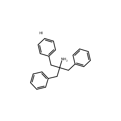 I.NC(Cc1ccccc1)(Cc1ccccc1)Cc1ccccc1